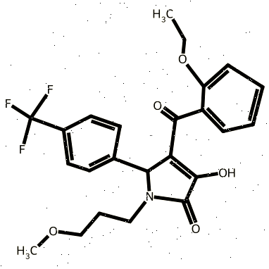 CCOc1ccccc1C(=O)C1=C(O)C(=O)N(CCCOC)C1c1ccc(C(F)(F)F)cc1